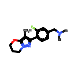 CCN(CC)Cc1ccc(-c2nn3c(c2C(=O)O)OCCC3)c(F)c1